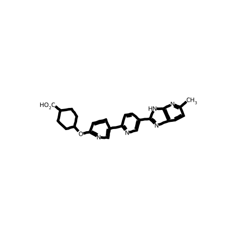 Cc1ccc2nc(-c3ccc(-c4ccc(OC5CCC(C(=O)O)CC5)nc4)nc3)[nH]c2n1